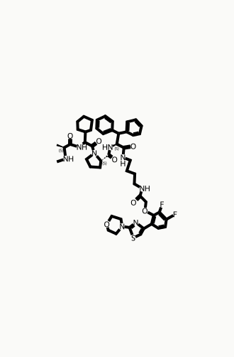 CN[C@@H](C)C(=O)NC(C(=O)N1CCC[C@H]1C(=O)N[C@H](C(=O)NCCCCNC(=O)COc1c(-c2csc(N3CCOCC3)n2)ccc(F)c1F)C(c1ccccc1)c1ccccc1)C1CCCCC1